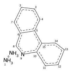 N.N.c1ccc2c(c1)cnc1ccccc12